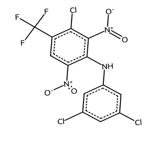 O=[N+]([O-])c1cc(C(F)(F)F)c(Cl)c([N+](=O)[O-])c1Nc1cc(Cl)cc(Cl)c1